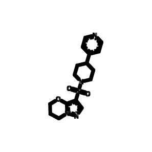 O=S(=O)(c1cnn2c1OCCC2)N1CCC(c2ccncc2)CC1